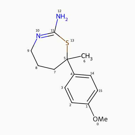 COc1ccc(C2(C)CCCN=C(N)S2)cc1